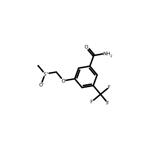 C[S+]([O-])COc1cc(C(N)=O)cc(C(F)(F)F)c1